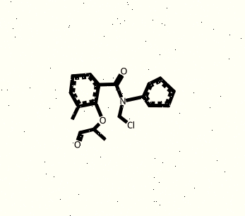 Cc1cccc(C(=O)N(CCl)c2ccccc2)c1OC(C)C=O